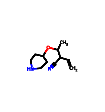 C=CC(C#N)C(C)OC1CCNCC1